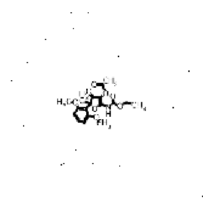 CCOC(=O)NC1=C(OC(C)=O)C(=O)C(C)(c2c(OC)cccc2OC)O1